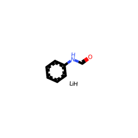 O=CNc1ccccc1.[LiH]